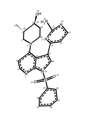 C[C@H]1CN(c2ccnc3c2c(-c2ccnc(N)n2)cn3S(=O)(=O)c2ccccc2)CC[C@@H]1O